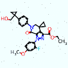 CCOC(=O)c1nn(-c2ccc(OC)cc2F)c2c1C1(CC1)CN(c1ccc(C3(CO)CC3)cc1)C2=O